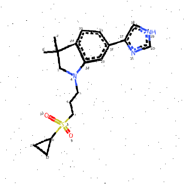 CC1(C)CN(CCCS(=O)(=O)C2CC2)c2cc(-c3c[nH]cn3)ccc21